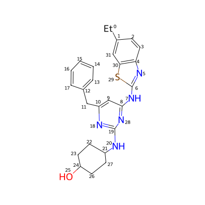 CCc1ccc2nc(Nc3cc(Cc4ccccc4)nc(NC4CCC(O)CC4)n3)sc2c1